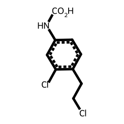 O=C(O)Nc1ccc(CCCl)c(Cl)c1